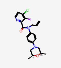 C=CCN(C(=O)c1nccc(Cl)c1I)c1ccc(N2C[C@@H](C)O[C@@H](C)C2)cc1